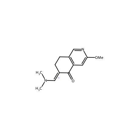 COc1cc2c(cn1)CC/C(=C\N(C)C)C2=O